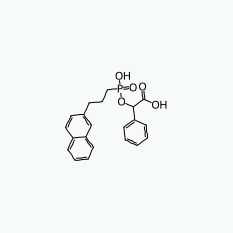 O=C(O)C(OP(=O)(O)CCCc1ccc2ccccc2c1)c1ccccc1